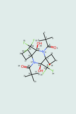 CC(C)(C)C(=O)N1C2(CCC2)[C@](O)(C(F)(F)F)N(C(=O)C(C)(C)C)C2(CCC2)[C@]1(O)C(F)(F)F